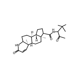 CC(=O)C(NC(=O)C1CC[C@H]2[C@@H]3CCC4NC(=O)C=C[C@]4(C)[C@@H]3CC[C@]12C)C(C)(C)C